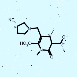 C[C@@H](O)C1C(=O)N(C)C(C(=O)O)=C(CN2CC[C@H](C#N)C2)[C@@H]1C